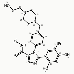 CCNC(=O)c1nnc(-c2cc(C(C)C)c(O)cc2O)n1-c1ccc(CN2CCN(CCO)CC2)cc1